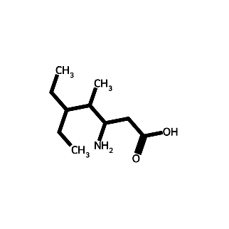 CCC(CC)C(C)C(N)CC(=O)O